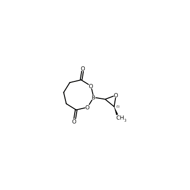 C[C@@H]1OC1B1OC(=O)CCCC(=O)O1